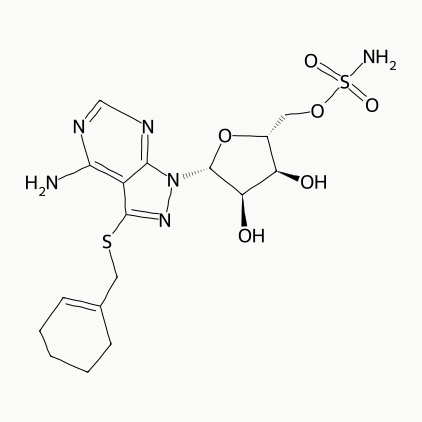 Nc1ncnc2c1c(SCC1=CCCCC1)nn2[C@@H]1O[C@H](COS(N)(=O)=O)[C@@H](O)[C@H]1O